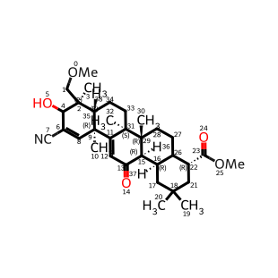 COC[C@]1(C)C(O)C(C#N)=C[C@]2(C)C3=CC(=O)[C@@H]4[C@@H]5CC(C)(C)C[C@@H](C(=O)OC)C5CC[C@@]4(C)[C@]3(C)CC[C@H]21